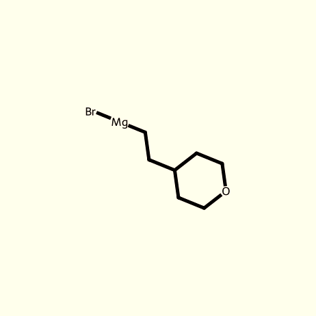 [Br][Mg][CH2]CC1CCOCC1